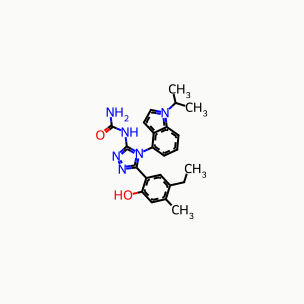 CCc1cc(-c2nnc(NC(N)=O)n2-c2cccc3c2ccn3C(C)C)c(O)cc1C